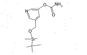 CC(C)(C)[Si](C)(C)OCc1cncc(OC(N)=O)c1